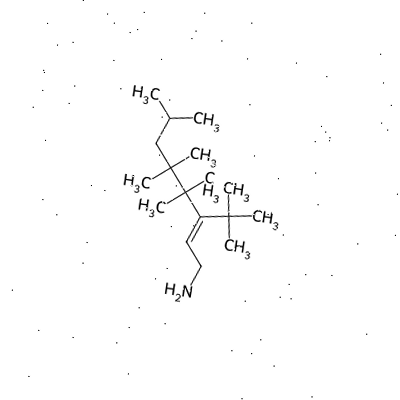 CC(C)CC(C)(C)C(C)(C)/C(=C/CN)C(C)(C)C